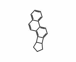 c1ccc2c(c1)ccc1c3c(ccc12)C1CCCC31